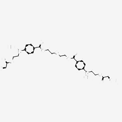 C=CC(=O)OCCN(C)c1ccc(C(=O)OCCOCCOC(=O)c2ccc(N(C)CCOC(=O)C=C)cc2)cc1